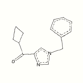 O=C(c1cn(Cc2ccccc2)cn1)C1CCC1